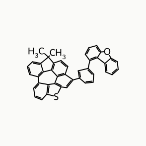 CC1(C)c2cccc3c2-c2c1ccc1c(-c4cccc(-c5cccc6oc7ccccc7c56)c4)cc4sc5cccc-3c5c4c21